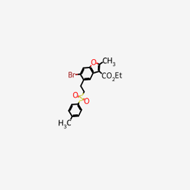 CCOC(=O)c1c(C)oc2cc(Br)c(CCS(=O)(=O)c3ccc(C)cc3)cc12